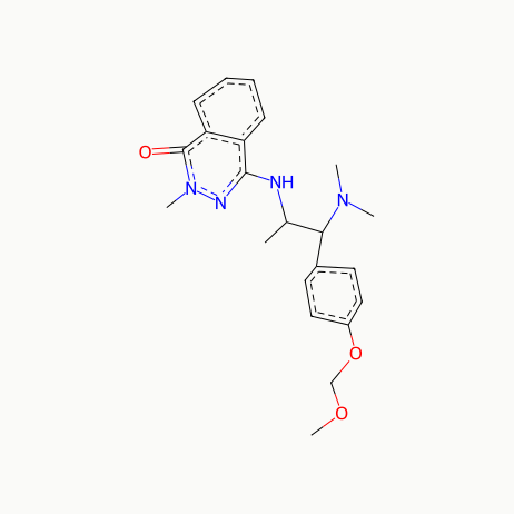 COCOc1ccc(C(C(C)Nc2nn(C)c(=O)c3ccccc23)N(C)C)cc1